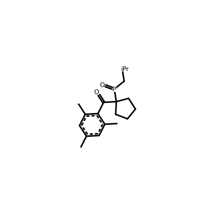 Cc1cc(C)c(C(=O)C2([P](=O)CC(C)C)CCCC2)c(C)c1